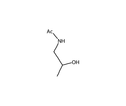 CC(=O)NCC(C)O